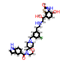 O=C(c1ccc2[nH]ccc2c1)N1CCOC2(CCN(Cc3cc(F)cc(CCNCC(O)c4ccc(O)c5[nH]c(=O)sc45)c3)CC2)C1